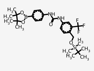 CC1(C)OB(c2ccc(NC(=O)Nc3ccc(CO[Si](C)(C)C(C)(C)C)c(C(F)(F)F)c3)cc2)OC1(C)C